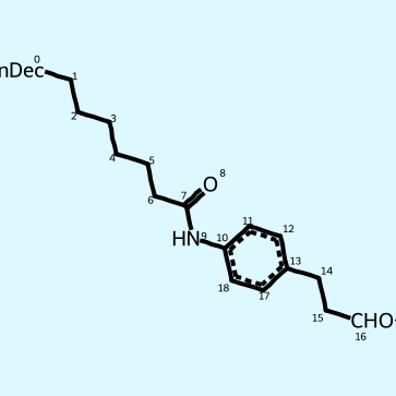 CCCCCCCCCCCCCCCCC(=O)Nc1ccc(CC[C]=O)cc1